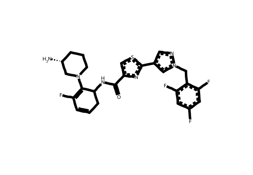 N[C@@H]1CCCN(C2=C(F)C=CCC2NC(=O)c2csc(-c3cnn(Cc4c(F)cc(F)cc4F)c3)n2)C1